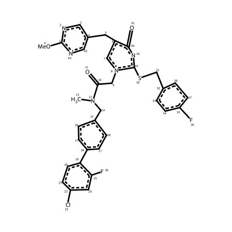 COc1ncc(Cc2cn(CC(=O)N(C)Cc3ccc(-c4ccc(Cl)cc4F)cc3)c(SCc3ccc(F)cc3)nc2=O)cn1